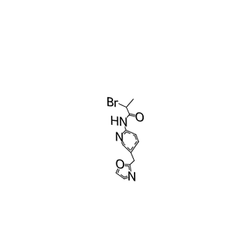 CC(Br)C(=O)Nc1ccc(Cc2ncco2)cn1